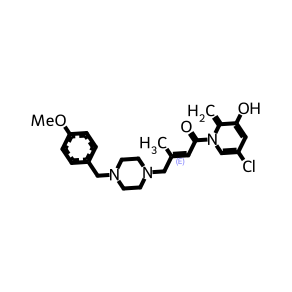 C=C1C(O)=CC(Cl)=CN1C(=O)/C=C(\C)CN1CCN(Cc2ccc(OC)cc2)CC1